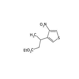 CCOC(=O)CC(C)c1cscc1[N+](=O)[O-]